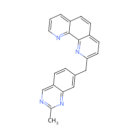 Cc1ncc2ccc(Cc3ccc4ccc5cccnc5c4n3)cc2n1